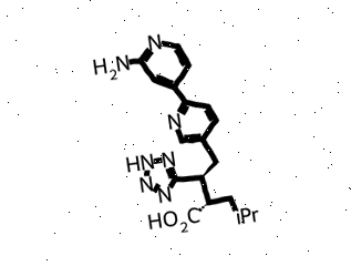 CC(C)C[C@H](C(=O)O)[C@H](Cc1ccc(-c2ccnc(N)c2)nc1)c1nn[nH]n1